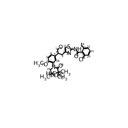 COc1ccc(C(C=O)Cc2csc(NC(=O)c3c(Cl)cccc3I)n2)cc1N(CC(C)C)C(=O)C(C)(C)C